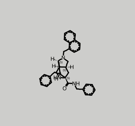 O=C(NCc1ccccc1)[C@@]12C[C@@H]3CN(Cc4cccc5ccccc45)[C@@H]([C@@H]3CN1)[C@H]2Cc1ccccc1